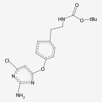 CC(C)(C)OC(=O)NCCc1ccc(Oc2cc(Cl)nc(N)n2)cc1